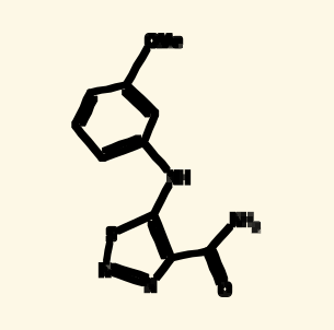 COc1cccc(Nc2snnc2C(N)=O)c1